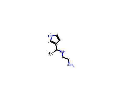 CC(NCCN)c1cc[nH]c1